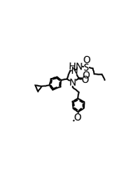 CCCCS(=O)(=O)NN1CC(c2ccc(C3CC3)cc2)N(CCc2ccc(OC)cc2)C1=O